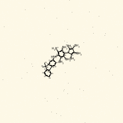 BC1=C(B)C(c2c(B)c(B)c(Nc3ccc4c(c3)C(C)(C)c3ccccc3-4)c(B)c2B)C(B)=C1B